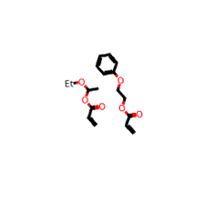 C=CC(=O)OC(C)OCC.C=CC(=O)OCCOc1ccccc1